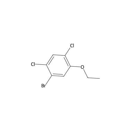 CCOc1cc(Br)c(Cl)cc1Cl